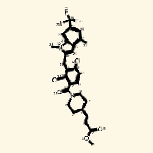 COC(=O)CCC1CCN(C(=O)c2ccc(Cl)c(Cc3cc4c(C)cc(C(F)(F)F)cc4n3C)c2Cl)CC1